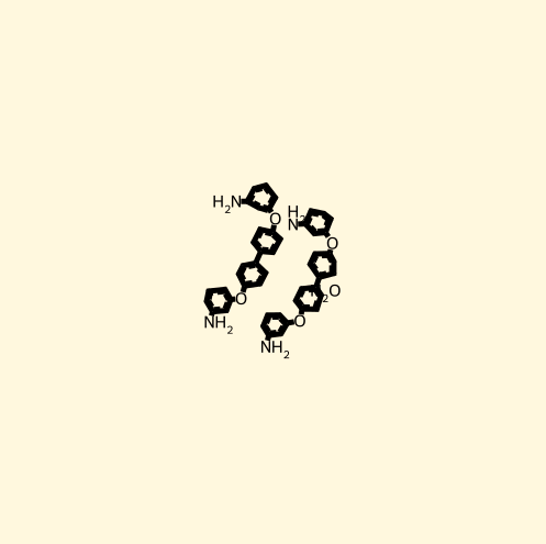 Nc1cccc(Oc2ccc(-c3ccc(Oc4cccc(N)c4)cc3)cc2)c1.Nc1cccc(Oc2ccc(-c3ccc(Oc4cccc(N)c4)cc3)cc2)c1.O